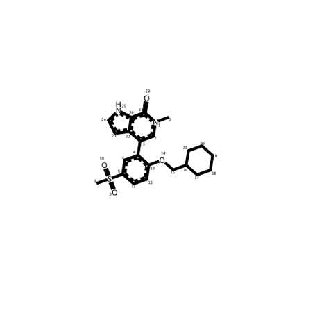 Cn1cc(-c2cc(S(C)(=O)=O)ccc2OCC2CCCCC2)c2cc[nH]c2c1=O